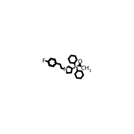 CC(=O)[N+](C1CCCCC1)(C1CCCCC1)[C@H]1CCN(CCc2ccc(F)cc2)C1